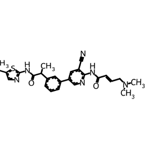 CCc1cnc(NC(=O)C(C)c2cccc(-c3cnc(NC(=O)/C=C/CN(C)C)c(C#N)c3)c2)s1